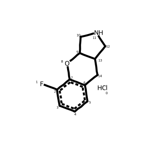 Cl.Fc1cccc2c1OC1CNCC1C2